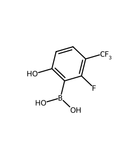 OB(O)c1c(O)ccc(C(F)(F)F)c1F